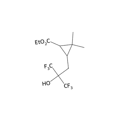 CCOC(=O)C1C(CC(O)(C(F)(F)F)C(F)(F)F)C1(C)C